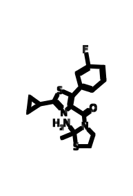 CC1(N)SCCN1C(=O)c1nc(C2CC2)sc1-c1cccc(F)c1